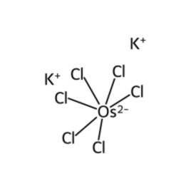 [Cl][Os-2]([Cl])([Cl])([Cl])([Cl])[Cl].[K+].[K+]